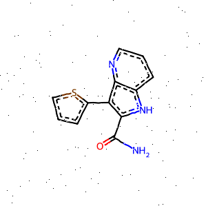 NC(=O)c1[nH]c2cccnc2c1-c1cccs1